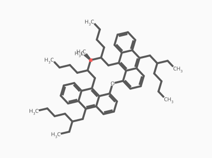 CCCCC(CC)Cc1c2ccccc2c(CC(CC)CCCC)c2c(Oc3cccc4c(CC(CC)CCCC)c5ccccc5c(CC(CC)CCCC)c34)cccc12